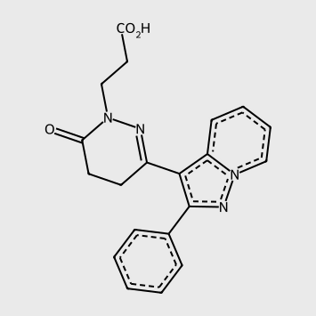 O=C(O)CCN1N=C(c2c(-c3ccccc3)nn3ccccc23)CCC1=O